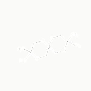 CC1(C)COC2(CO1)COC(C)(C)CO2